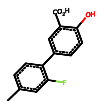 Cc1ccc(-c2ccc(O)c(C(=O)O)c2)c(F)c1